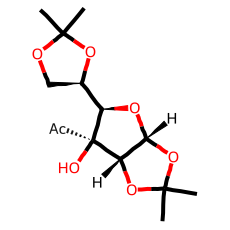 CC(=O)[C@]1(O)[C@@H]([C@H]2COC(C)(C)O2)O[C@@H]2OC(C)(C)O[C@@H]21